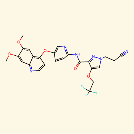 COc1cc2nccc(Oc3ccc(NC(=O)c4nn(CCC#N)cc4OCC(F)(F)F)nc3)c2cc1OC